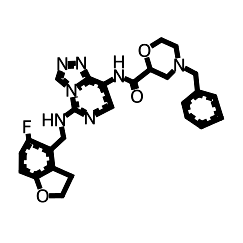 O=C(Nc1cnc(NCc2c(F)ccc3c2CCO3)n2cnnc12)C1CN(Cc2ccccc2)CCO1